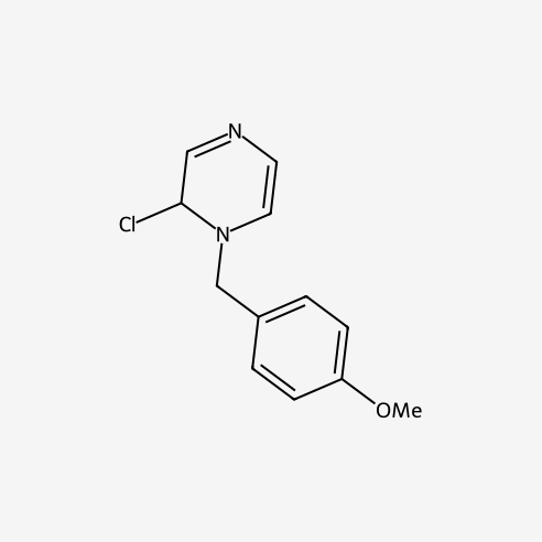 COc1ccc(CN2C=CN=CC2Cl)cc1